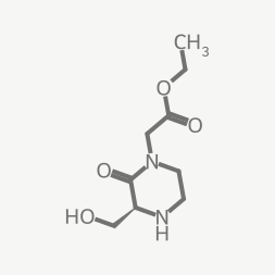 CCOC(=O)CN1CCN[C@@H](CO)C1=O